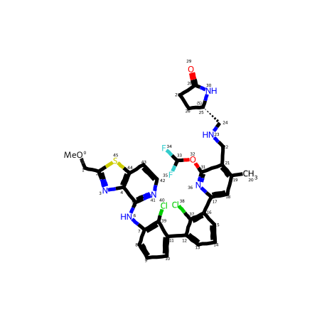 COCc1nc2c(Nc3cccc(-c4cccc(-c5cc(C)c(CNC[C@@H]6CCC(=O)N6)c(OC(F)F)n5)c4Cl)c3Cl)nccc2s1